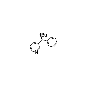 CC(C)(C)[C@@H](c1ccccc1)c1cccnc1